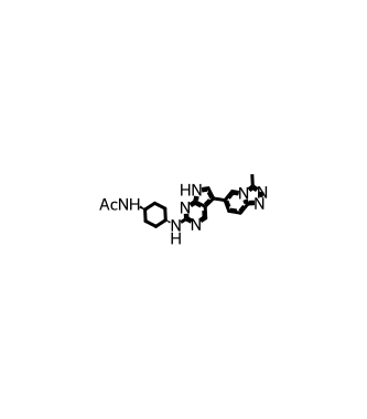 CC(=O)N[C@H]1CC[C@H](Nc2ncc3c(-c4ccc5nnc(C)n5c4)c[nH]c3n2)CC1